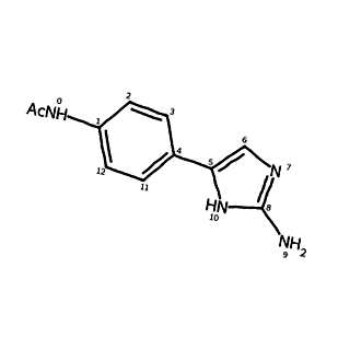 CC(=O)Nc1ccc(-c2cnc(N)[nH]2)cc1